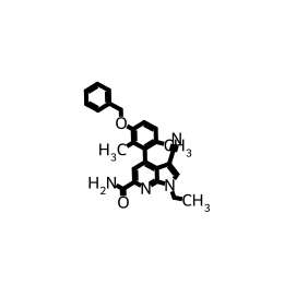 CCn1cc(C#N)c2c(-c3c(C)ccc(OCc4ccccc4)c3C)cc(C(N)=O)nc21